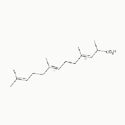 CC(C)=CCC/C(C)=C/CC/C(C)=C/C(C)C(=O)O